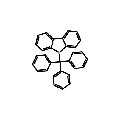 c1ccc(C(c2ccccc2)(c2ccccc2)n2c3ccccc3c3ccccc32)cc1